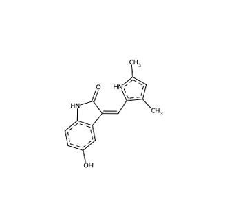 Cc1cc(C)c(/C=C2\C(=O)Nc3ccc(O)cc32)[nH]1